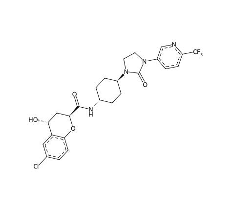 O=C(N[C@H]1CC[C@H](N2CCN(c3ccc(C(F)(F)F)nc3)C2=O)CC1)[C@@H]1C[C@@H](O)c2cc(Cl)ccc2O1